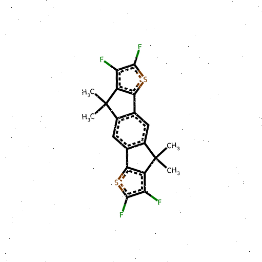 CC1(C)c2cc3c(cc2-c2sc(F)c(F)c21)C(C)(C)c1c-3sc(F)c1F